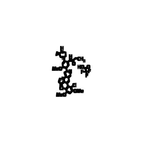 C=CC(=O)Nc1cc(-c2cc3c(cn2)cc(-c2c(Cl)c(OC)cc(OC)c2Cl)c2nccn23)c(OC)cc1N1CCNC2(CC2)C1.O=C(O)C(F)(F)F